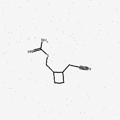 N#CCC1CCC1CSC(=N)N